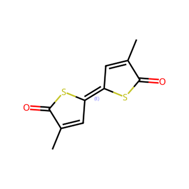 CC1=C/C(=C2/C=C(C)C(=O)S2)SC1=O